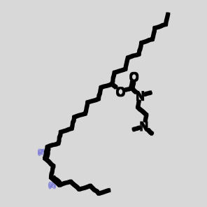 CCCCC/C=C\C/C=C\CCCCCCCCC(CCCCCCCCC)OC(=O)N(C)CCN(C)C